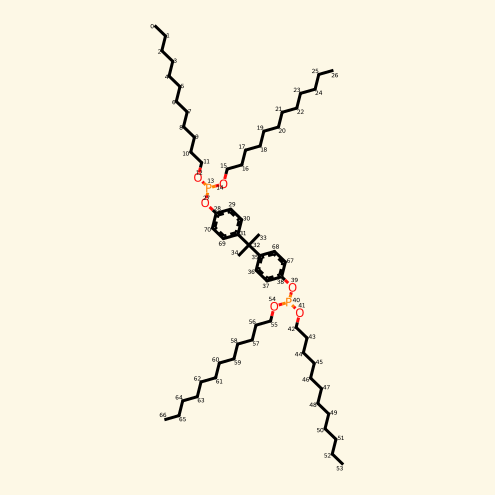 CCCCCCCCCCCCOP(OCCCCCCCCCCCC)Oc1ccc(C(C)(C)c2ccc(OP(OCCCCCCCCCCCC)OCCCCCCCCCCCC)cc2)cc1